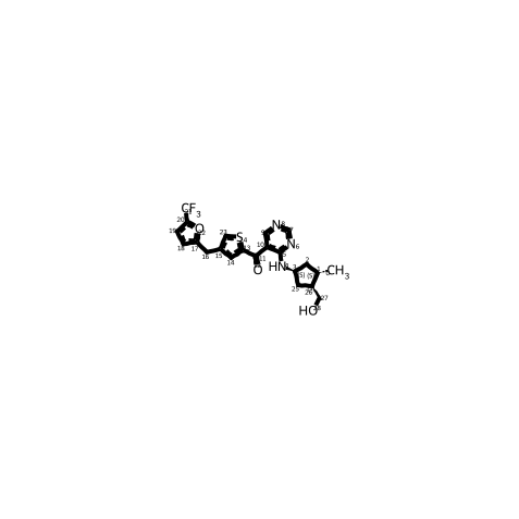 C[C@H]1C[C@H](Nc2ncncc2C(=O)c2cc(Cc3ccc(C(F)(F)F)o3)cs2)C[C@@H]1CO